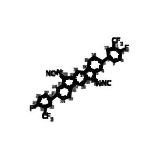 [C-]#[N+]/N=c1\c2cc(-c3ccc(F)c(C(F)(F)F)c3)ccc2c2cc3/c(=N/C#N)c4cc(-c5ccc(F)c(C(F)(F)F)c5)ccc4c3cc12